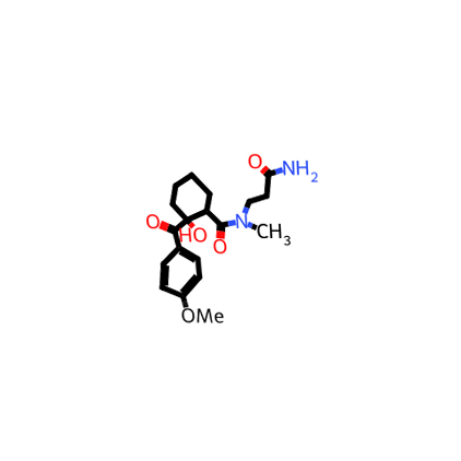 COc1ccc(C(=O)C2(O)CCCCC2C(=O)N(C)CCC(N)=O)cc1